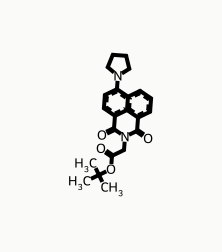 CC(C)(C)OC(=O)CN1C(=O)c2cccc3c(N4CCCC4)ccc(c23)C1=O